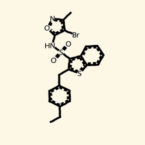 CCc1ccc(Cc2sc3ccccc3c2S(=O)(=O)Nc2onc(C)c2Br)cc1